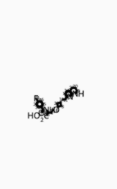 O=C(NC(CCO[C@H]1C[C@@H](CCc2ccc3c(n2)NCCC3)C1)C(=O)O)c1ccc(F)cc1